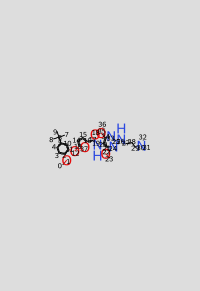 COc1ccc(C(C)(C)C)cc1Oc1ccc(C(=O)Nc2c(OC)nc(NCCCN(C)C)nc2OC)o1